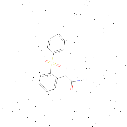 CC(C(N)=O)c1ccccc1S(=O)(=O)c1ccccc1